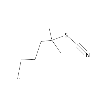 [CH2]CCCC(C)(C)SC#N